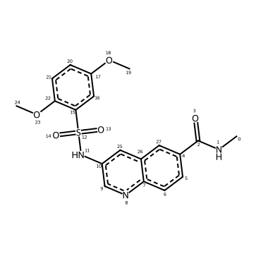 CNC(=O)c1ccc2ncc(NS(=O)(=O)c3cc(OC)ccc3OC)cc2c1